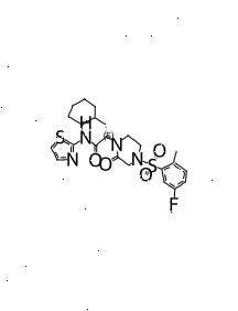 Cc1ccc(F)cc1S(=O)(=O)N1CCN([C@@H](CC2CCCCC2)C(=O)Nc2nccs2)C(=O)C1